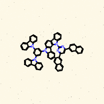 c1ccc2cc(-c3cc(-c4ccc5ccccc5c4)nc(-n4c5ccccc5c5ccc6c(c7ccccc7n6-c6cc(-n7c8ccccc8c8ccccc87)cc(-n7c8ccccc8c8ccccc87)c6)c54)n3)ccc2c1